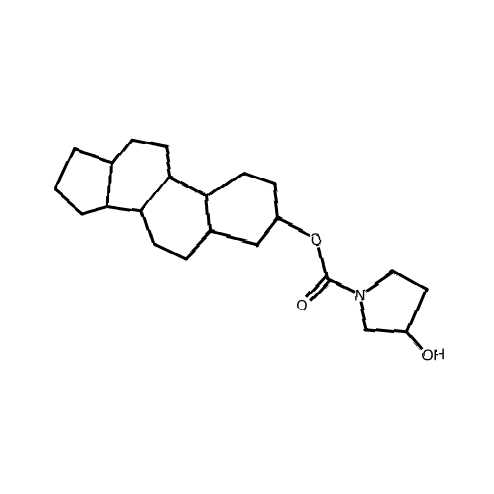 O=C(OC1CCC2C(CCC3C4CCCC4CCC23)C1)N1CCC(O)C1